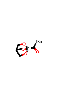 CC(C)(C)C(=O)[B-]12OCC(CO1)CO2